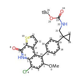 COc1cc(Cl)c2[nH]c(=O)c3sccc3c2c1-c1ccc(C2(CNC(=O)OC(C)(C)C)CC2)cc1